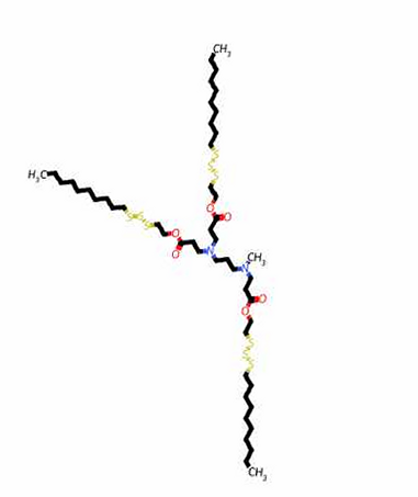 CCCCCCCCCCSSSCCOC(=O)CCN(C)CCCN(CCC(=O)OCCSSSCCCCCCCCCC)CCC(=O)OCCSSSCCCCCCCCCC